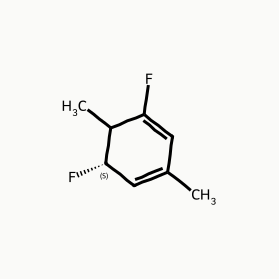 CC1=C[C@H](F)C(C)C(F)=C1